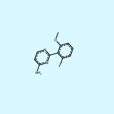 COc1cccc(F)c1-c1nccc(N)n1